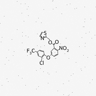 O=C(OCc1nccs1)c1cc(Oc2ccc(C(F)(F)F)cc2Cl)ccc1[N+](=O)[O-]